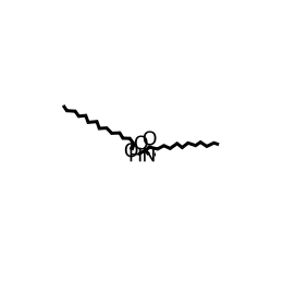 CCCCCCCCCCCCCC(=O)OC(C)(NC)C(=O)CCCCCCCCCCC